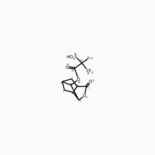 O=C1OC2C3CC(CC13)C2OC(=O)C(F)(C(F)(F)F)S(=O)(=O)O